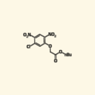 CCCCOC(=O)COc1cc(Cl)c([N+](=O)[O-])cc1[N+](=O)[O-]